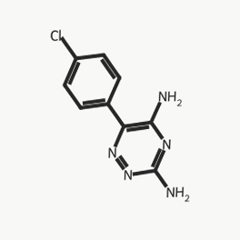 Nc1nnc(-c2ccc(Cl)cc2)c(N)n1